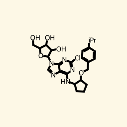 CC(C)c1ccc(COC2CCCC2Nc2nc(Cl)nc3c2ncn3C2OC(CO)C(O)C2O)cc1